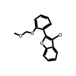 COCOc1ccccc1-c1oc2ccccc2c1Cl